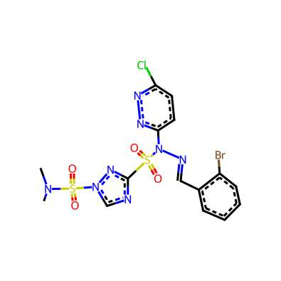 CN(C)S(=O)(=O)n1cnc(S(=O)(=O)N(/N=C/c2ccccc2Br)c2ccc(Cl)nn2)n1